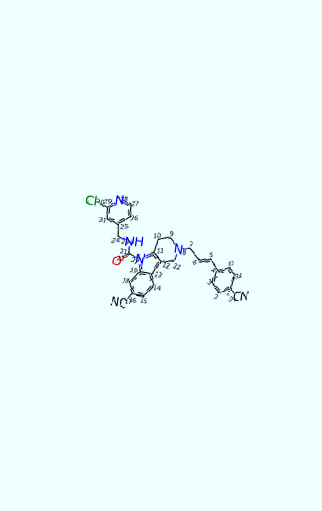 N#Cc1ccc(C=CCN2CCc3c(c4ccc(C#N)cc4n3C(=O)NCc3ccnc(Cl)c3)C2)cc1